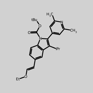 CCOC=Cc1ccc2c(c1)c(C(C)C)c(-c1cc(C)nc(C)c1)n2C(=O)OC(C)(C)C